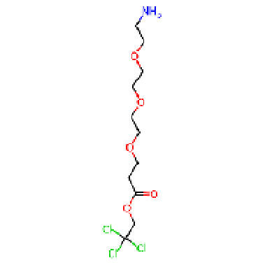 NCCOCCOCCOCCC(=O)OCC(Cl)(Cl)Cl